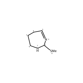 CSC1N=CCCCN1